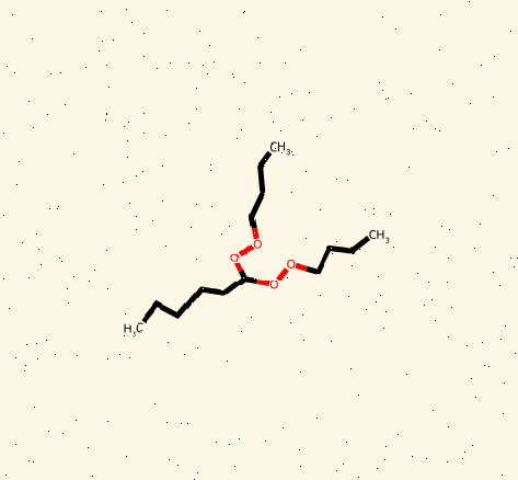 CCCCCC(OOCCCC)OOCCCC